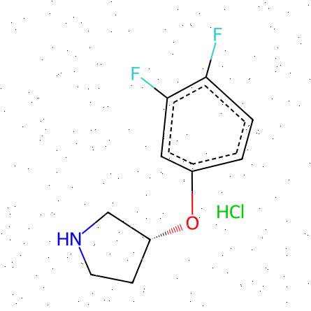 Cl.Fc1ccc(O[C@@H]2CCNC2)cc1F